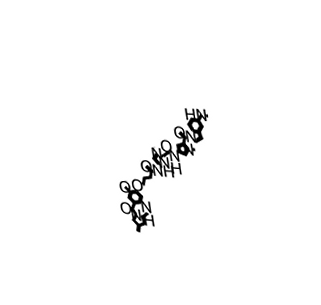 C=C1C[C@H]2C=Nc3cc(OCCCC(=O)Nc4cn(C)c(C(=O)Nc5cc(C(=O)n6ccc7cc(NC)ccc76)n(C)c5)n4)c(OC)cc3C(=O)N2C1